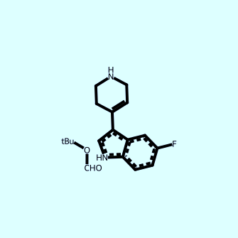 CC(C)(C)OC=O.Fc1ccc2[nH]cc(C3=CCNCC3)c2c1